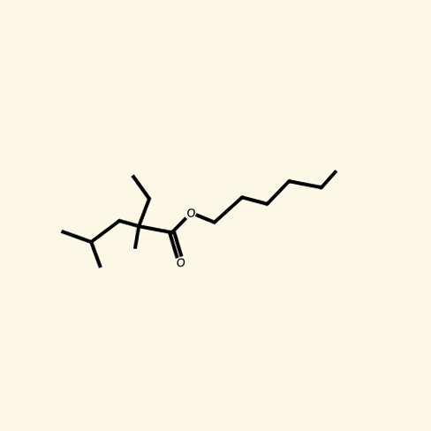 CCCCCCOC(=O)C(C)(CC)CC(C)C